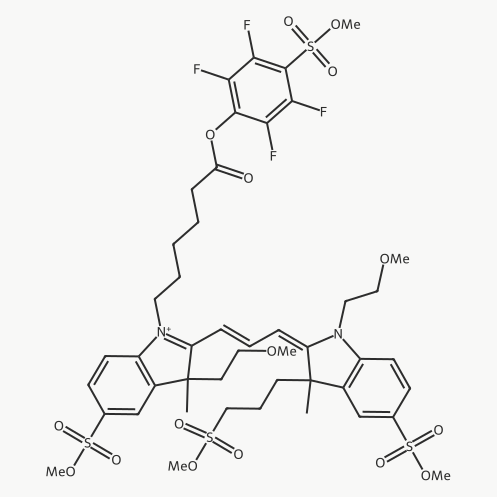 COCCN1/C(=C/C=C/C2=[N+](CCCCCC(=O)Oc3c(F)c(F)c(S(=O)(=O)OC)c(F)c3F)c3ccc(S(=O)(=O)OC)cc3C2(C)CCOC)C(C)(CCCS(=O)(=O)OC)c2cc(S(=O)(=O)OC)ccc21